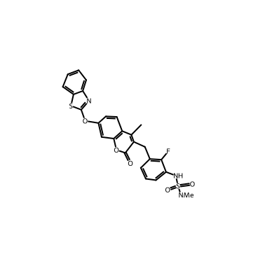 CNS(=O)(=O)Nc1cccc(Cc2c(C)c3ccc(Oc4nc5ccccc5s4)cc3oc2=O)c1F